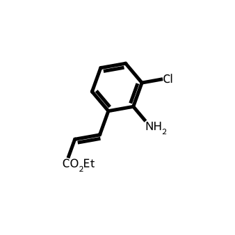 CCOC(=O)/C=C/c1cccc(Cl)c1N